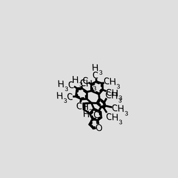 Cc1c(C)c(C)c2c(c1C)-c1c(C)c(C)c(C)c(C)c1C1(C=Cc3c1ccc1occc31)c1c(C)c(C)c(C)c(C)c1-2